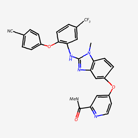 CNC(=O)c1cc(Oc2ccc3c(c2)nc(Nc2cc(C(F)(F)F)ccc2Oc2ccc(C#N)cc2)n3C)ccn1